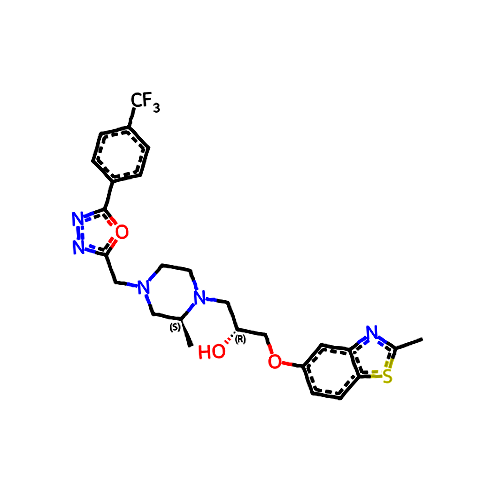 Cc1nc2cc(OC[C@H](O)CN3CCN(Cc4nnc(-c5ccc(C(F)(F)F)cc5)o4)C[C@@H]3C)ccc2s1